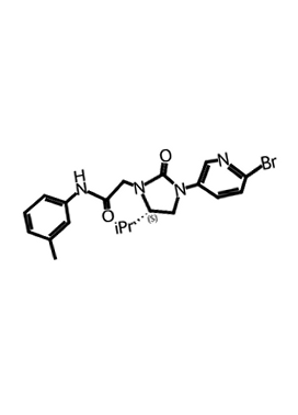 Cc1cccc(NC(=O)CN2C(=O)N(c3ccc(Br)nc3)C[C@@H]2C(C)C)c1